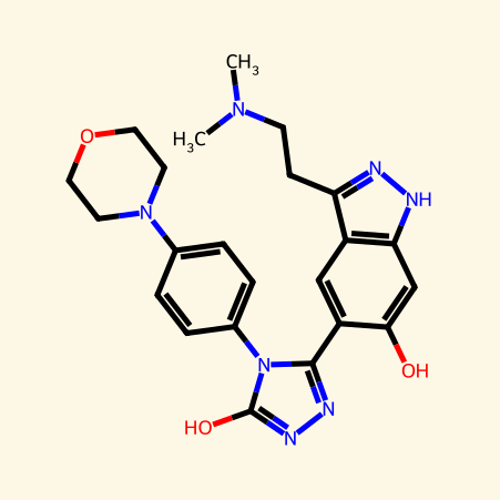 CN(C)CCc1n[nH]c2cc(O)c(-c3nnc(O)n3-c3ccc(N4CCOCC4)cc3)cc12